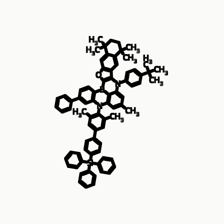 Cc1cc2c3c(c1)N(c1ccc(C(C)(C)C)cc1)c1c(oc4cc5c(cc14)C(C)(C)CCC5(C)C)B3c1ccc(-c3ccccc3)cc1N2c1c(C)cc(-c2ccc([Si](c3ccccc3)(c3ccccc3)c3ccccc3)cc2)cc1C